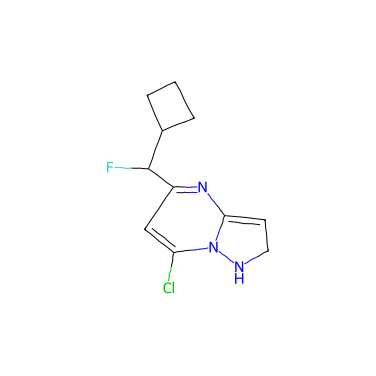 FC(C1=NC2=CCNN2C(Cl)=C1)C1CCC1